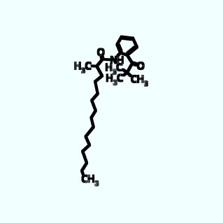 CCCCCCCCCCCCCC(C)C(=O)Nc1ccccc1C(=O)C(C)(C)C